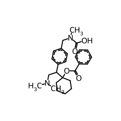 CN(C)CC(c1ccc(CN(C)C(=O)O)cc1)C1(OC(=O)c2ccccc2)CCCCC1